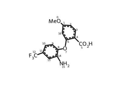 COc1ccc(C(=O)O)c(Oc2ccc(C(F)(F)F)cc2N)c1